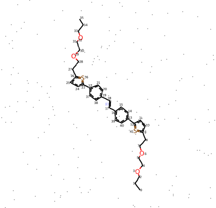 CCCOCCOCCc1ccc(-c2ccc(/C=C/c3ccc(-c4ccc(CCOCCOCCC)s4)cc3)cc2)s1